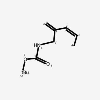 C=C(/C=C\C)CNC(=O)OC(C)(C)C